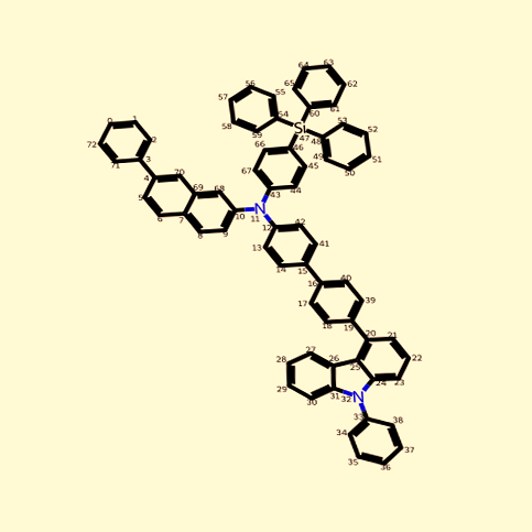 c1ccc(-c2ccc3ccc(N(c4ccc(-c5ccc(-c6cccc7c6c6ccccc6n7-c6ccccc6)cc5)cc4)c4ccc([Si](c5ccccc5)(c5ccccc5)c5ccccc5)cc4)cc3c2)cc1